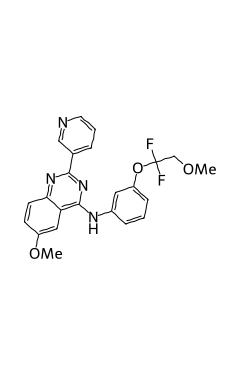 COCC(F)(F)Oc1cccc(Nc2nc(-c3cccnc3)nc3ccc(OC)cc23)c1